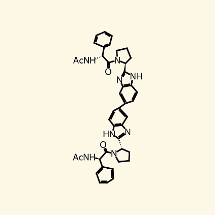 CC(=O)N[C@@H](C(=O)N1CCC[C@H]1c1nc2cc(-c3ccc4[nH]c([C@@H]5CCCN5C(=O)[C@H](NC(C)=O)c5ccccc5)nc4c3)ccc2[nH]1)c1ccccc1